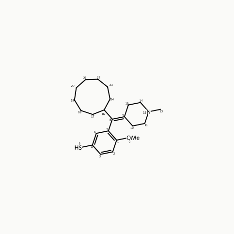 COc1ccc(S)cc1C(=C1CCN(C)CC1)C1CCCCCCCC1